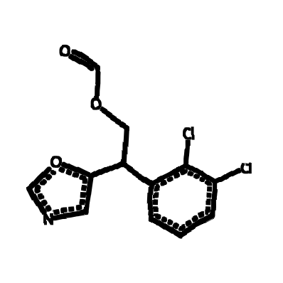 O=COCC(c1cnco1)c1cccc(Cl)c1Cl